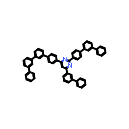 c1ccc(-c2cccc(-c3ccc(-c4nc(-c5ccc(-c6cccc(-c7cccc(-c8ccccc8)c7)c6)cc5)cc(-c5cccc(-c6ccccc6)c5)n4)cc3)c2)cc1